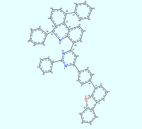 c1ccc(-c2nc(-c3ccc(-c4cccc5c4oc4ccccc45)cc3)cc(-c3cccc4c3nc(-c3ccccc3)c3cccc(-c5ccccc5)c34)n2)cc1